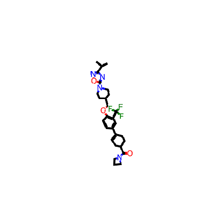 CC(C)c1noc(N2CCC(COc3ccc(C4=CCC(C(=O)N5CCC5)CC4)cc3C(F)(F)F)CC2)n1